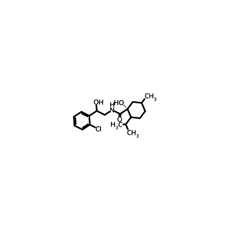 CC1CCC(C(C)C)[C@@](O)(C(=O)NCC(O)c2ccccc2Cl)C1